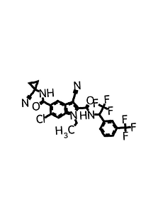 CCn1c(C(=O)NC(c2cccc(C(F)(F)F)c2)C(F)(F)F)c(C#N)c2cc(C(=O)NC3(C#N)CC3)c(Cl)cc21